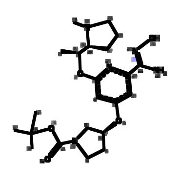 C[C@H](Oc1cc(O[C@H]2CCN(C(=O)OC(C)(C)C)C2)cc(/C(N)=N/O)n1)[C@@H]1CCCN1C